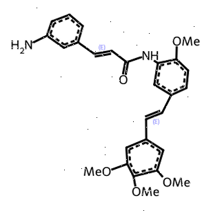 COc1ccc(/C=C/c2cc(OC)c(OC)c(OC)c2)cc1NC(=O)/C=C/c1cccc(N)c1